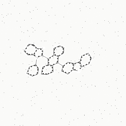 c1ccc(-n2c(-c3c4ccccc4c(-c4ccc5oc6ccccc6c5c4)c4ccccc34)nc3ccccc32)cc1